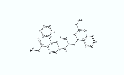 C=CC(CC(OC(=O)CC(C)=O)c1ccccc1)OC(C=C)CC(OC(=O)CC(C)=O)c1ccccc1